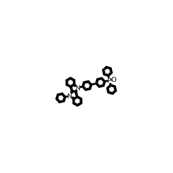 O=P(c1ccccc1)(c1ccccc1)c1ccc(-c2ccc(-n3c4ccccc4c4c3c3ccccc3n4-c3ccccc3)cc2)cc1